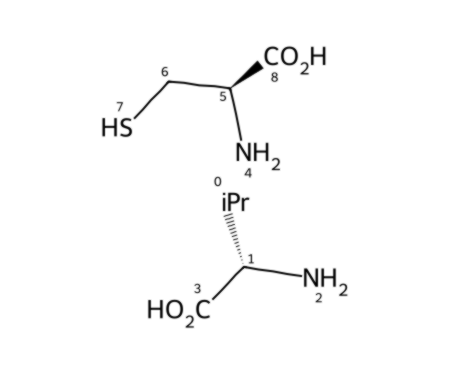 CC(C)[C@H](N)C(=O)O.N[C@@H](CS)C(=O)O